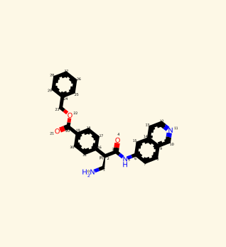 NC[C@H](C(=O)Nc1ccc2cnccc2c1)c1ccc(C(=O)OCc2ccccc2)cc1